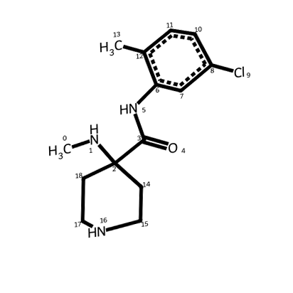 CNC1(C(=O)Nc2cc(Cl)ccc2C)CCNCC1